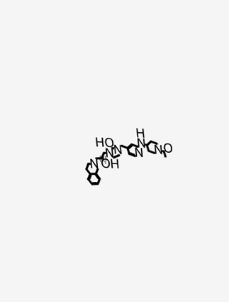 CC(=O)N1CCC(Nc2cc(CN3CCN(C[C@H](O)CN4CCc5ccccc5C4)C3O)ccn2)CC1